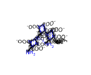 CC1CN(C(=O)[O-])CCN(C(=O)[O-])CCN(C(=O)[O-])CCN1C(CCCN)C(=O)[O-].CC1CN(C(=O)[O-])CCN(C(=O)[O-])CCN(C(=O)[O-])CCN1C(CCCN)C(=O)[O-].CC1CN(C(=O)[O-])CCN(C(=O)[O-])CCN(C(=O)[O-])CCN1C(CCCN)C(=O)[O-].[Gd+3].[Gd+3].[Gd+3].[Gd+3]